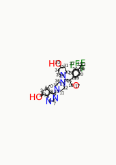 C[C@@H]1C[C@@H](O)c2ncnc(N3CCN(C(C(C=O)c4ccc(C(F)(F)F)c(F)c4)N4CCC(O)CC4)CC3)c21